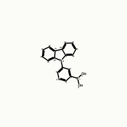 OB(O)c1cncc(-n2c3ccccc3c3ccccc32)c1